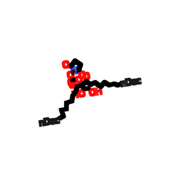 CCCCCCCCCCCCCCCCCC(=O)C(OC(=O)ON1C(=O)CCC1=O)(C(=O)CCCCCCCCCCCCCCCCC)C(O)CO